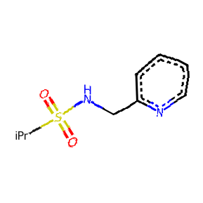 CC(C)S(=O)(=O)NCc1ccccn1